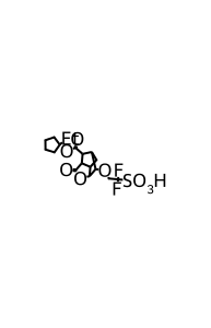 CCC1(OC(=O)C2C3CC4C(OC(=O)C42)C3OCC(F)(F)S(=O)(=O)O)CCCC1